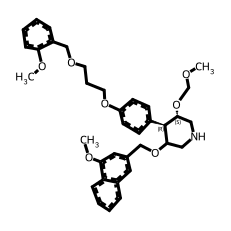 COCO[C@@H]1CNCC(OCc2cc(OC)c3ccccc3c2)[C@H]1c1ccc(OCCCOCc2ccccc2OC)cc1